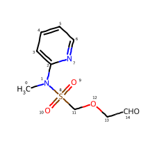 CN(c1ccccn1)S(=O)(=O)COCC=O